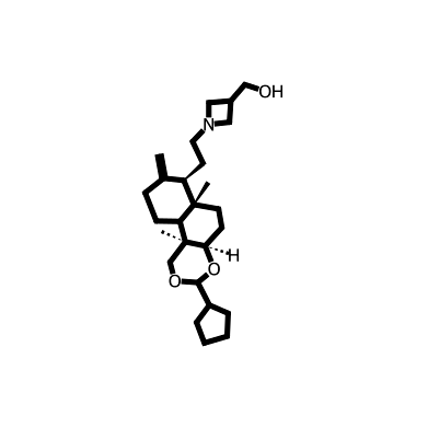 C=C1CCC2[C@]3(C)COC(C4CCCC4)O[C@@H]3CC[C@@]2(C)[C@@H]1CCN1CC(CO)C1